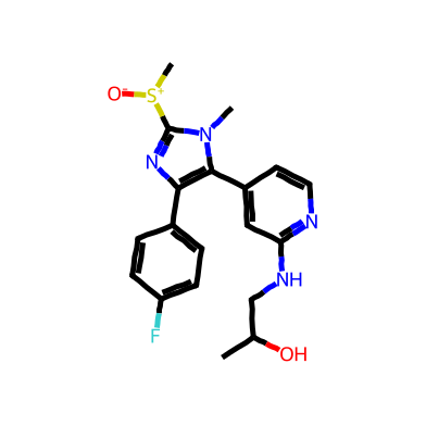 CC(O)CNc1cc(-c2c(-c3ccc(F)cc3)nc([S+](C)[O-])n2C)ccn1